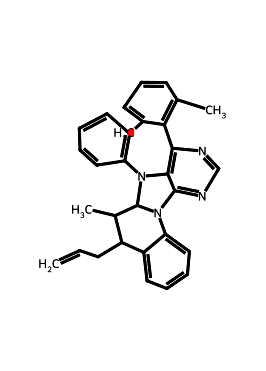 C=CCC1c2ccccc2N2c3ncnc(-c4c(C)cccc4C)c3N(c3ccccc3)C2C1C